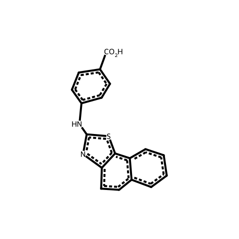 O=C(O)c1ccc(Nc2nc3ccc4ccccc4c3s2)cc1